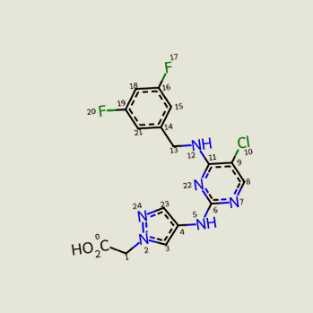 O=C(O)Cn1cc(Nc2ncc(Cl)c(NCc3cc(F)cc(F)c3)n2)cn1